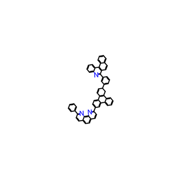 C1=CC(c2cccc(-c3nc4ccccc4c4c3ccc3ccccc34)c2)Cc2c1c1ccc(-c3ccc4ccc5ccc(-c6ccccc6)nc5c4n3)cc1c1ccccc21